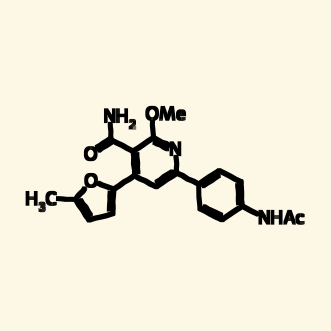 COc1nc(-c2ccc(NC(C)=O)cc2)cc(-c2ccc(C)o2)c1C(N)=O